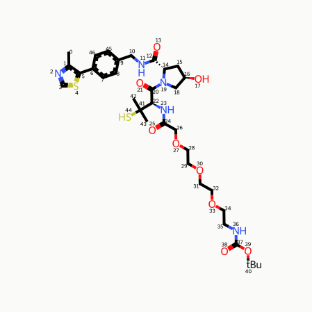 Cc1ncsc1-c1ccc(CNC(=O)[C@@H]2C[C@@H](O)CN2C(=O)[C@@H](NC(=O)COCCOCCOCCNC(=O)OC(C)(C)C)C(C)(C)S)cc1